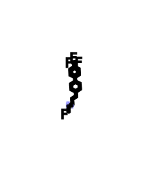 FC/C=C/CCC1CCC(c2ccc(C(F)(F)F)cc2)CC1